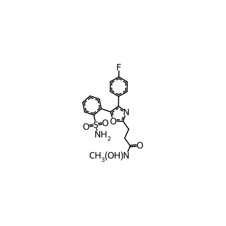 CN(O)C(=O)CCc1nc(-c2ccc(F)cc2)c(-c2ccccc2S(N)(=O)=O)o1